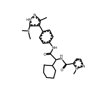 Cc1n[nH]c(N(C)C)c1-c1ccc(NC(=O)C(NC(=O)c2ccnn2C)C2CCCCC2)cc1